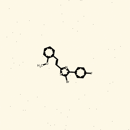 COc1ccccc1/C=C/c1nc(-c2ccc(F)cc2)c(Br)s1